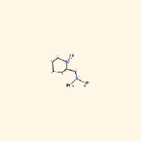 CCCN(CC1CCCCN1CC)C(C)C